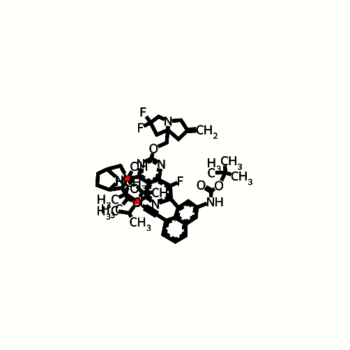 C=C1CN2CC(F)(F)CC2(COc2nc3c4c(nc(-c5cc(NC(=O)OC(C)(C)C)cc6cccc(C#C[Si](C(C)C)(C(C)C)C(C)C)c56)c(F)c4n2)OC(C)C2C4CCC(CN32)N4C(=O)O)C1